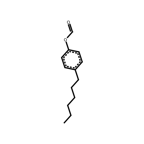 CCCCCCc1ccc(O[C]=O)cc1